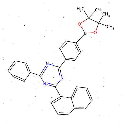 CC1(C)OB(c2ccc(-c3nc(-c4ccccc4)nc(-c4cccc5ccccc45)n3)cc2)OC1(C)C